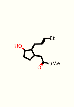 CCC=CCC1C(O)CCC1CC(=O)OC